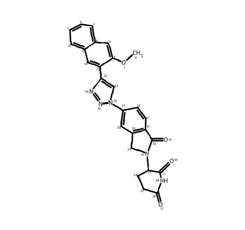 COc1cc2ccccc2cc1-c1cn(-c2ccc3c(c2)CN(C2CCC(=O)NC2=O)C3=O)nn1